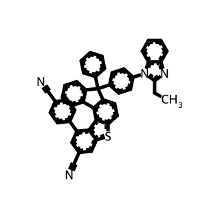 CCc1nc2ccccc2n1-c1ccc(C2(c3ccccc3)c3ccccc3-c3c2ccc2sc4cc(C#N)cc(-c5ccc(C#N)cc5)c4c32)cc1